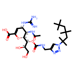 CC(=O)N[C@H]1[C@H]([C@H](OC(=O)NCc2cn(C(C)(C)CC(C)(C)CC(C)(C)C)nn2)[C@H](O)CO)OC(C(=O)O)=C[C@@H]1NC(=N)N